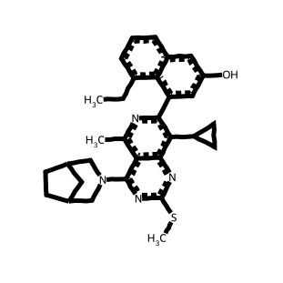 CCc1cccc2cc(O)cc(-c3nc(C)c4c(N5CC6CCC(C6)C5)nc(SC)nc4c3C3CC3)c12